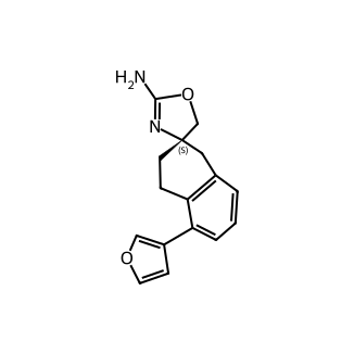 NC1=N[C@]2(CCc3c(cccc3-c3ccoc3)C2)CO1